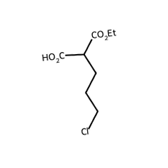 CCOC(=O)C(CCCCl)C(=O)O